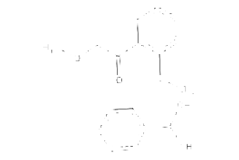 CC(O)c1ccccc1.COCC(=O)c1ccccc1OC